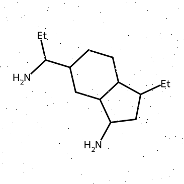 CCC(N)C1CCC2C(CC)CC(N)C2C1